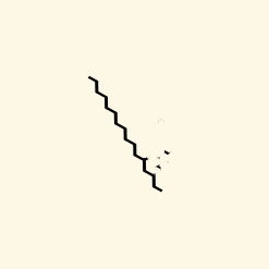 CCCCCCCCCCCC(CCCC)OP(=O)([O-])[O-].[K+].[K+]